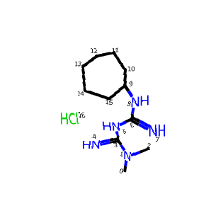 CN(C)C(=N)NC(=N)NC1CCCCCC1.Cl